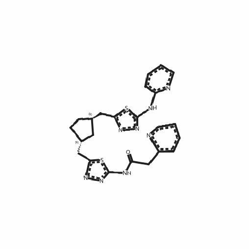 O=C(Cc1ccccn1)Nc1nnc(C[C@@H]2CC[C@@H](Cc3nnc(Nc4ccccn4)s3)C2)s1